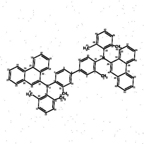 Cc1cc(-c2ccc(N(c3c(C)cccc3C)c3cc4ccccc4c4ccccc34)c(C)c2)ccc1N(c1c(C)cccc1C)c1cc2ccccc2c2ccccc12